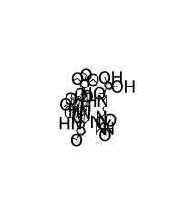 COC(=O)[C@H]1[C@H]2C[C@@H]3c4[nH]c5cc(OC)ccc5c4CCN3C[C@H]2C[C@@H](OC(=O)c2cc(OC)c(OC)c(OC)c2)[C@@H]1OC.Cn1c(=O)c2c(ncn2CCCNCC(O)c2cc(O)cc(O)c2)n(C)c1=O